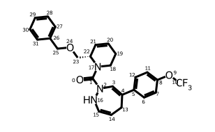 O=C(N1C=C(c2ccc(OC(F)(F)F)cc2)CC=CN1)N1CCC=C[C@H]1COCc1ccccc1